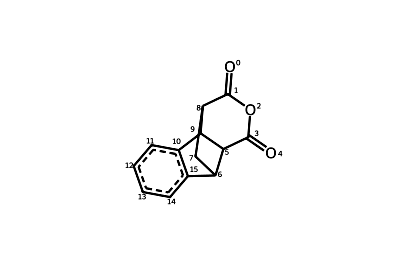 O=C1OC(=O)C2C3CC1C2c1ccccc13